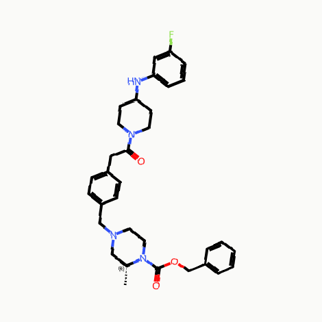 C[C@@H]1CN(Cc2ccc(CC(=O)N3CCC(Nc4cccc(F)c4)CC3)cc2)CCN1C(=O)OCc1ccccc1